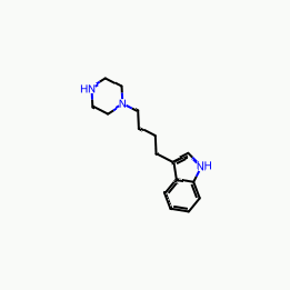 c1ccc2c(CCCCN3CCNCC3)c[nH]c2c1